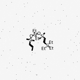 CC=C[Si](C)(C)O[Si](CC)(CC)O[Si](C)(C)C=C[Si](CC)(CC)CC